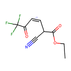 CCOC(=O)C(C#N)/C=C\C(=O)C(F)(F)F